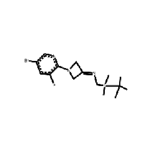 CC(C)(C)S(C)(C)CN=C1CN(c2ncc(Br)cc2F)C1